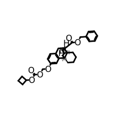 O=C(OCOc1ccc2c(c1)[C@@]13CCCC[C@H]1[C@@H](C2)N(C(=O)OCc1ccccc1)CC3)OC1CCC1